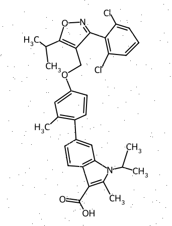 Cc1cc(OCc2c(-c3c(Cl)cccc3Cl)noc2C(C)C)ccc1-c1ccc2c(C(=O)O)c(C)n(C(C)C)c2c1